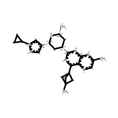 Cc1cnc2c(C34CC(C)(C3)C4)nc([C@H]3C[C@@H](C)O[C@@H](c4cnn(C5CC5)c4)C3)nc2n1